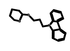 c1ccc2c(c1)c1ccccc1n2CCCOC1CCCCO1